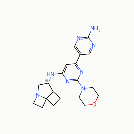 Nc1ncc(-c2cc(N[C@H]3CN4CCC45CCC35)nc(N3CCOCC3)n2)cn1